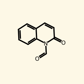 O=Cn1c(=O)ccc2ccccc21